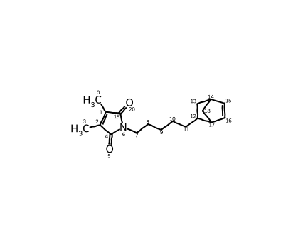 CC1=C(C)C(=O)N(CCCCCC2CC3C=CC2C3)C1=O